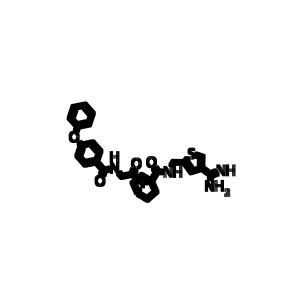 N=C(N)c1csc(CNC(=O)C23CCC(CC2)N3C(=O)CNC(=O)c2ccc(Oc3ccccc3)cc2)c1